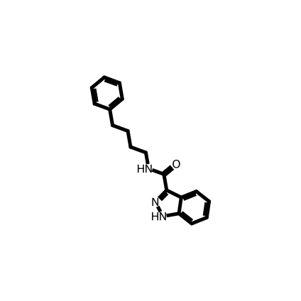 O=C(NCCCCc1ccccc1)c1n[nH]c2ccccc12